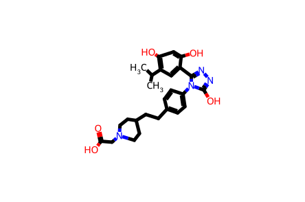 CC(C)c1cc(-c2nnc(O)n2-c2ccc(CCC3CCN(CC(=O)O)CC3)cc2)c(O)cc1O